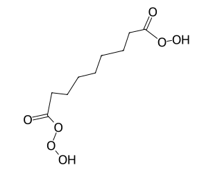 O=C(CCCCCCCC(=O)OOO)OO